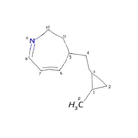 CC1CC1CC1C=CC=NCC1